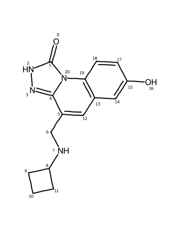 O=c1[nH]nc2c(CNC3CCC3)cc3cc(O)ccc3n12